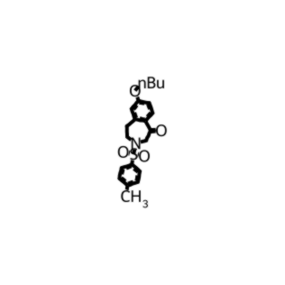 CCCCOc1ccc2c(c1)CCN(S(=O)(=O)c1ccc(C)cc1)CC2=O